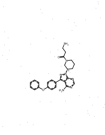 BCCC(=O)N1CCC[C@@H](n2nc(-c3ccc(Oc4ccccc4)cc3)c3c(N)ncnc32)C1